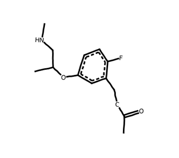 CNCC(C)Oc1ccc(F)c(CCC(C)=O)c1